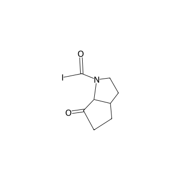 O=C1CCC2CCN(C(=O)I)C12